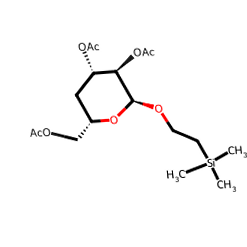 CC(=O)OC[C@@H]1C[C@H](OC(C)=O)[C@@H](OC(C)=O)[C@@H](OCC[Si](C)(C)C)O1